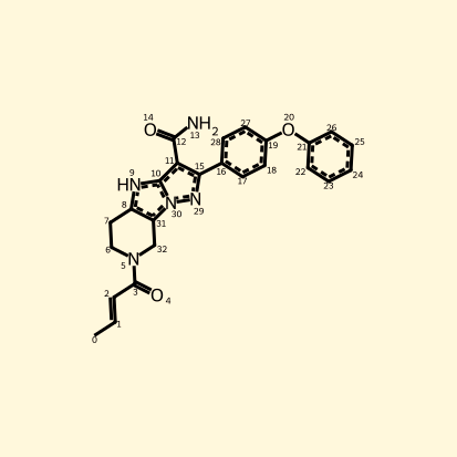 CC=CC(=O)N1CCc2[nH]c3c(C(N)=O)c(-c4ccc(Oc5ccccc5)cc4)nn3c2C1